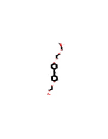 CCOCCCOc1ccc(C(C)(C)c2ccc(OCCCOCC3CO3)cc2)cc1